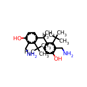 CC(c1ccc(O)c(CN)c1C(C)(C)C)c1ccc(O)c(CN)c1C(C)(C)C